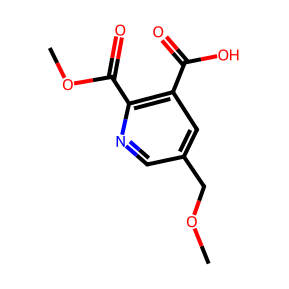 COCc1cnc(C(=O)OC)c(C(=O)O)c1